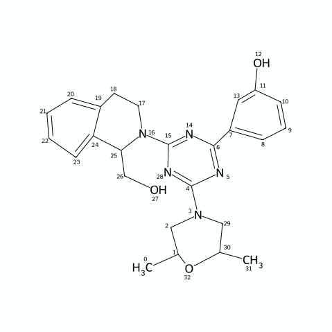 CC1CN(c2nc(-c3cccc(O)c3)nc(N3CCc4ccccc4C3CO)n2)CC(C)O1